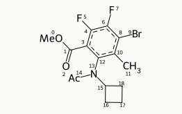 COC(=O)c1c(F)c(F)c(Br)c(C)c1N(C(C)=O)C1CCC1